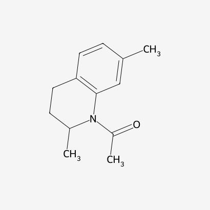 CC(=O)N1c2cc(C)ccc2CCC1C